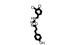 Oc1ccc(CCc2nnc(NCc3ccc(Cl)c(Cl)c3)o2)cc1